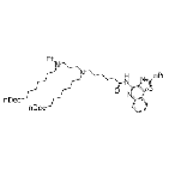 CCCCCCCCCCCCCCCCCN(CC)CCCN(CCCCCCCCCCCCCCCCC)CCCCCC(=O)Nc1nc2ccccc2c2sc(CCC)nc12